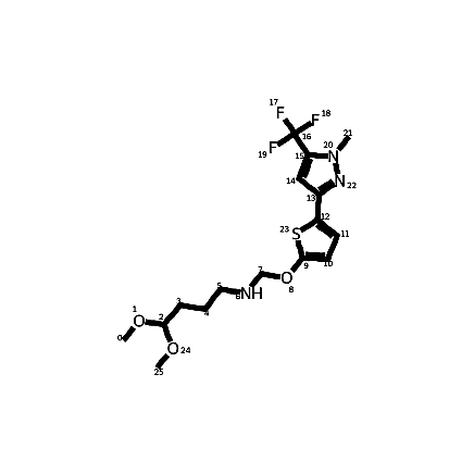 COC(CCCNCOc1ccc(-c2cc(C(F)(F)F)n(C)n2)s1)OC